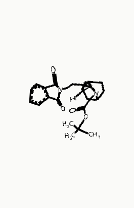 CC(C)(C)OC(=O)N1C2CCC(CC2)[C@H]1CN1C(=O)c2ccccc2C1=O